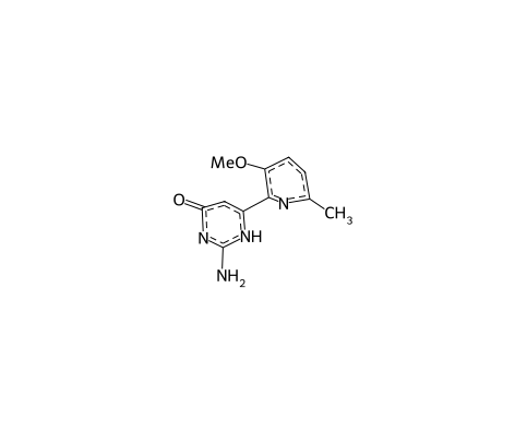 COc1ccc(C)nc1-c1cc(=O)nc(N)[nH]1